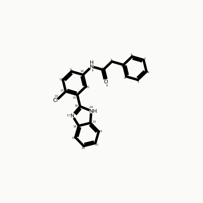 O=C(Cc1ccccc1)Nc1ccc(Cl)c(-c2nc3ccccc3[nH]2)c1